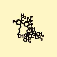 C=CCCCc1cc(F)cc(C)c1-c1cc([C@H](CC(=O)OCC)NC(=O)OC(C)(C)C)c(F)c(C(F)(F)F)c1